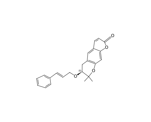 CC1(C)Oc2cc3oc(=O)ccc3cc2C[C@@H]1OCC=Cc1ccccc1